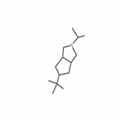 CC(C)N1CC2CC(C(C)(C)C)CC2C1